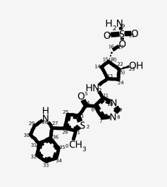 Cc1sc(C(=O)c2cncnc2NC2C[C@H](COS(N)(=O)=O)[C@@H](O)C2)cc1C1NCCc2ccccc21